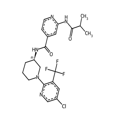 CC(C)C(=O)Nc1cc(C(=O)N[C@@H]2CCCN(c3ncc(Cl)cc3C(F)(F)F)C2)ccn1